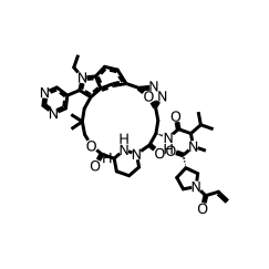 C=CC(=O)N1CC[C@H](C(=O)N(C)C(C(=O)N[C@H]2Cc3nnc(o3)-c3ccc4c(c3)c(c(-c3cncnc3)n4CC)CC(C)(C)COC(=O)[C@@H]3CCCN(N3)C2=O)C(C)C)C1